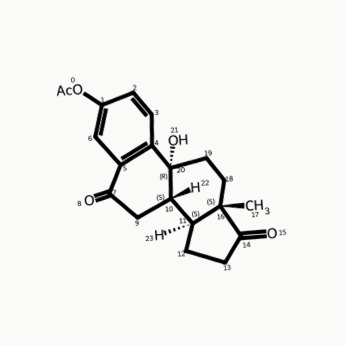 CC(=O)Oc1ccc2c(c1)C(=O)C[C@H]1[C@@H]3CCC(=O)[C@@]3(C)CC[C@]21O